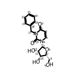 O=c1ccn([C@@H]2O[C@H](CO)[C@H](O)[C@@H]2O)c(=O)n1Cc1ccccc1